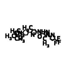 Cc1cc(NC(=O)c2cnn(-c3ccc(C(F)(F)F)cn3)c2C)cnc1C1=CCC(N(C)C(=O)C(C)(C)C)CC1